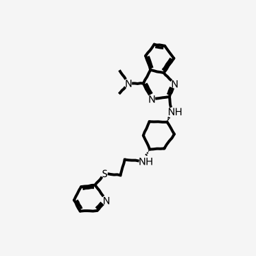 CN(C)c1nc(N[C@H]2CC[C@@H](NCCSc3ccccn3)CC2)nc2ccccc12